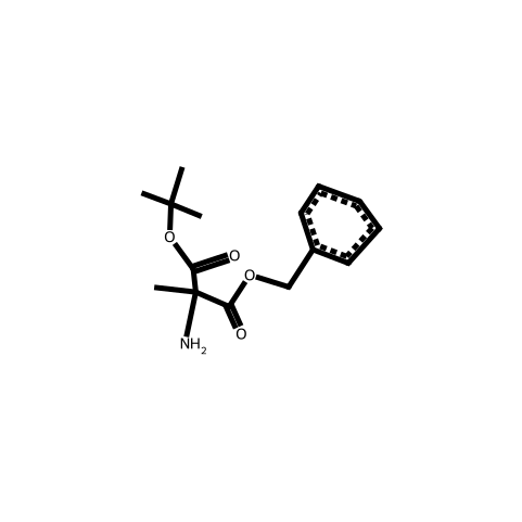 CC(C)(C)OC(=O)C(C)(N)C(=O)OCc1ccccc1